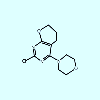 Clc1nc2c(c(N3CCOCC3)n1)CCCO2